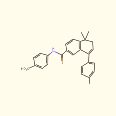 Cc1ccc(C2=CCC(C)(C)c3ccc(C(=S)Nc4ccc(C(=O)O)cc4)cc32)cc1